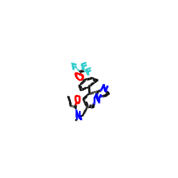 C=CC(=O)N(C)Cc1cc(-c2ccc(OC(F)(F)F)cc2)c2nccn2c1